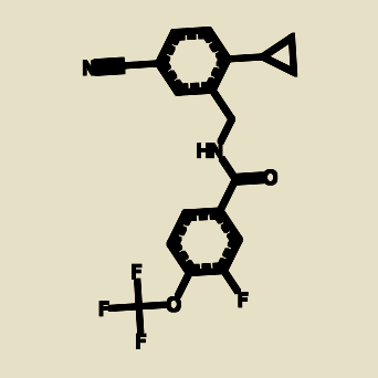 N#Cc1ccc(C2CC2)c(CNC(=O)c2ccc(OC(F)(F)F)c(F)c2)c1